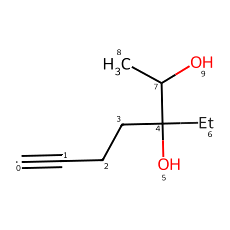 [C]#CCCC(O)(CC)C(C)O